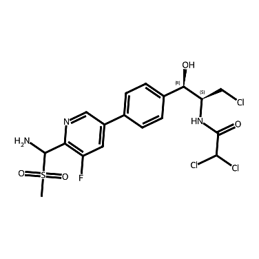 CS(=O)(=O)C(N)c1ncc(-c2ccc([C@@H](O)[C@@H](CCl)NC(=O)C(Cl)Cl)cc2)cc1F